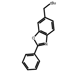 CC(C)(C)Cc1ccc2nc(-c3ccccc3)oc2c1